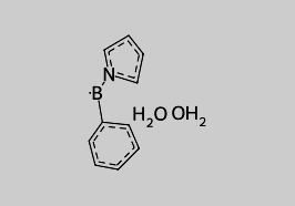 O.O.[B](c1ccccc1)n1cccc1